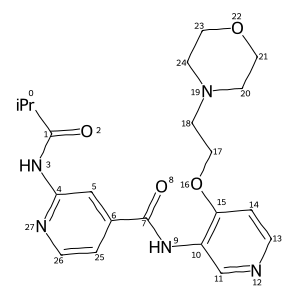 CC(C)C(=O)Nc1cc(C(=O)Nc2cnccc2OCCN2CCOCC2)ccn1